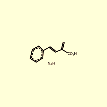 C=C(C=Cc1ccccc1)C(=O)O.[NaH]